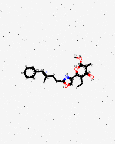 CCc1c(-c2coc(CC/C(C)=C/c3ccccc3)n2)oc(OC)c(C)c1=O